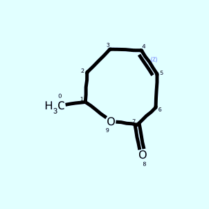 CC1CC/C=C\CC(=O)O1